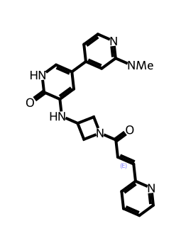 CNc1cc(-c2c[nH]c(=O)c(NC3CN(C(=O)/C=C/c4ccccn4)C3)c2)ccn1